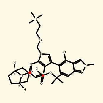 Cn1cc2c(Cl)c(-c3cn(COCC[Si](C)(C)C)c4nc(N5[C@@H]6CC[C@H]5C[C@@H](NC(=O)OC(C)(C)C)C6)cnc34)ccc2n1